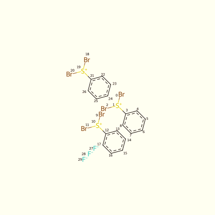 Br[S+](Br)c1ccccc1.Br[S+](Br)c1ccccc1.Br[S+](Br)c1ccccc1.[F-].[F-].[F-]